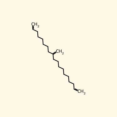 C=CCCCCCCCCC(=C)CCCCCCC=C